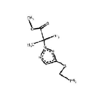 COC(=O)C(C)(C)n1ncc(SCP)n1